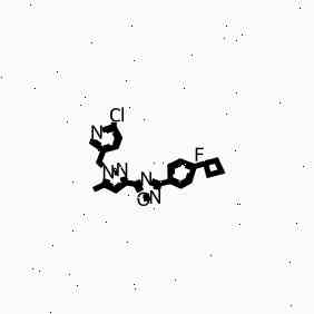 Cc1cc(-c2nc(-c3ccc(C4(F)CCC4)cc3)no2)nn1Cc1ccc(Cl)nc1